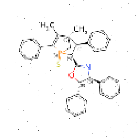 CC1=C(c2ccccc2)[P@]2(=S)C[C@]1(C)[C@@H](c1ccccc1)[C@H]2C1=N[C@@H](c2ccccc2)[C@H](c2ccccc2)O1